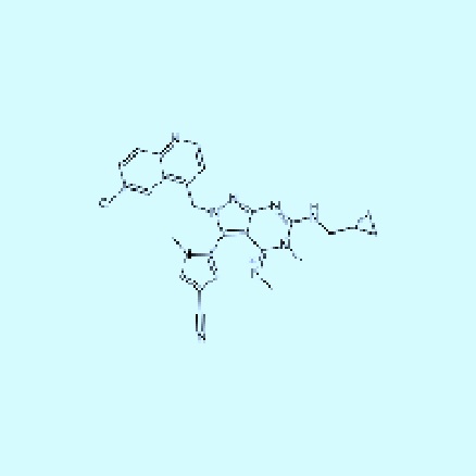 C/N=c1/c2c(-c3cc(C#N)cn3C)n(Cc3ccnc4ccc(Cl)cc34)nc2nc(NCC2CC2)n1C